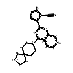 N#Cc1[nH]ncc1-c1nc(N2CCC3(CCNC3)CC2)c2ccncc2n1